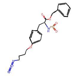 [N-]=[N+]=NCCCCOc1ccc(CC(N[SH](=O)=O)C(=O)OCc2ccccc2)cc1